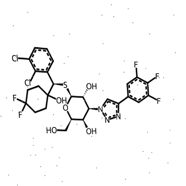 OC[C@H]1O[C@@H](S[C@H](c2cccc(Cl)c2Cl)C2(O)CCC(F)(F)CC2)[C@H](O)[C@@H](n2cc(-c3cc(F)c(F)c(F)c3)nn2)[C@H]1O